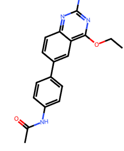 CCOc1nc(N)nc2ccc(-c3ccc(NC(C)=O)cc3)cc12